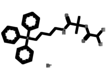 CC(C)(OC(=O)C(Cl)Cl)C(=O)NCCCC[P+](c1ccccc1)(c1ccccc1)c1ccccc1.[Br-]